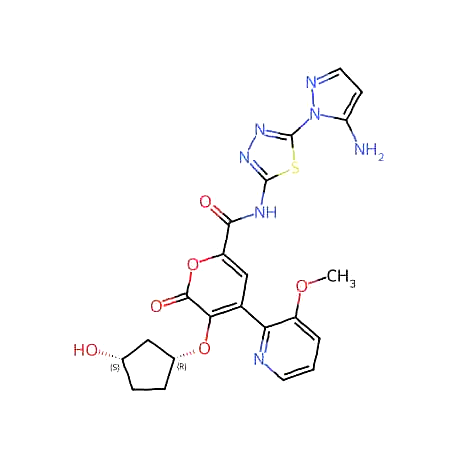 COc1cccnc1-c1cc(C(=O)Nc2nnc(-n3nccc3N)s2)oc(=O)c1O[C@@H]1CC[C@H](O)C1